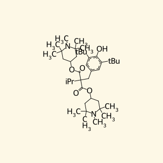 CC(C)C(Cc1cc(C(C)(C)C)c(O)c(C(C)(C)C)c1)(C(=O)OC1CC(C)(C)N(C)C(C)(C)C1)C(=O)OC1CC(C)(C)N(C)C(C)(C)C1